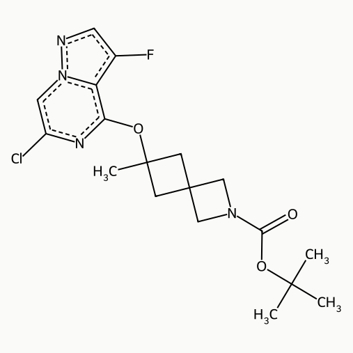 CC(C)(C)OC(=O)N1CC2(C1)CC(C)(Oc1nc(Cl)cn3ncc(F)c13)C2